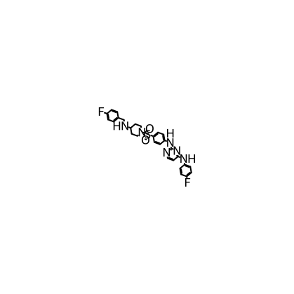 O=S(=O)(c1ccc(Nc2nccc(Nc3ccc(F)cc3)n2)cc1)N1CCC(NCc2ccc(F)cc2)CC1